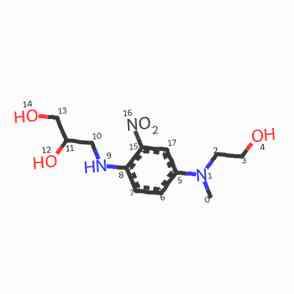 CN(CCO)c1ccc(NCC(O)CO)c([N+](=O)[O-])c1